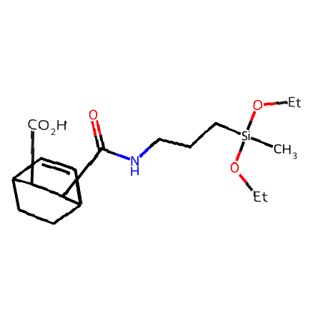 CCO[Si](C)(CCCNC(=O)C1C2C=CC(CC2)C1C(=O)O)OCC